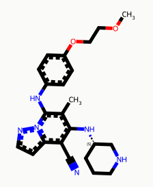 COCCOc1ccc(Nc2c(C)c(N[C@H]3CCCNC3)c(C#N)c3ccnn23)cc1